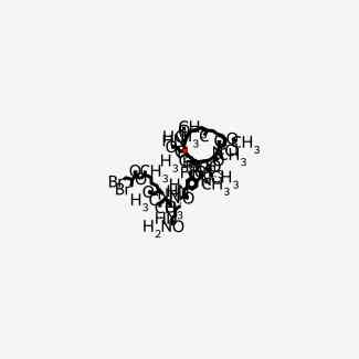 COc1cc2cc(c1Cl)N(C)C(=O)C[C@H](OC(=O)[C@H](C)N(C)C(=O)c1ccc(NC(=O)[C@H](CCCNC(N)=O)NC(=O)[C@@H](NC(C=O)CCCC(C)OC(=O)C(CBr)CBr)C(C)C)cc1C(F)(F)F)[C@]1(C)O[C@H]1[C@H](C)[C@@H]1C[C@@](O)(NC(=O)O1)[C@H](OC)/C=C/C=C(\C)C2